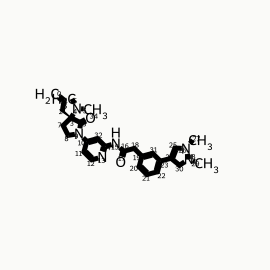 C=CC[C@]1(N(C)C)CCN(c2ccnc(NC(=O)Cc3cccc(C4=CN(C)N(C)C4)c3)c2)C1=O